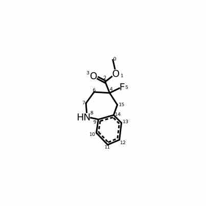 COC(=O)C1(F)CCNc2ccccc2C1